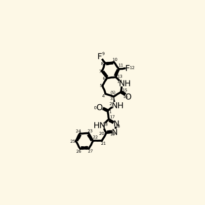 O=C(N[C@H]1CCc2cc(F)cc(F)c2NC1=O)c1nnc(Cc2ccccc2)[nH]1